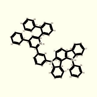 c1ccc(-c2cc(-c3cccc(-n4c5ccccc5c5c4ccc4c6ccccc6n(-c6ccccc6)c45)c3)nc(-c3ccccc3-c3ccccc3)c2)cc1